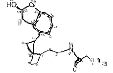 CCC(=O)NCCC1CCC12CC2c1cccc2c1C[C@@H](O)O2